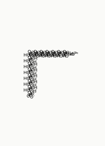 O=P(O)(O)O.O=P(O)(O)O.O=P(O)(O)O.O=P(O)(O)O.O=P(O)(O)O.O=P(O)(O)O.O=P(O)(O)O.O=P(O)(O)O.O=P(O)(O)O.O=P(O)(O)O.O=P(O)(O)O.O=P(O)(O)O.O=P([O-])([O-])[O-].O=P([O-])([O-])[O-].[Nd+3].[Yb+3]